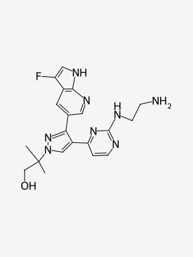 CC(C)(CO)n1cc(-c2ccnc(NCCN)n2)c(-c2cnc3[nH]cc(F)c3c2)n1